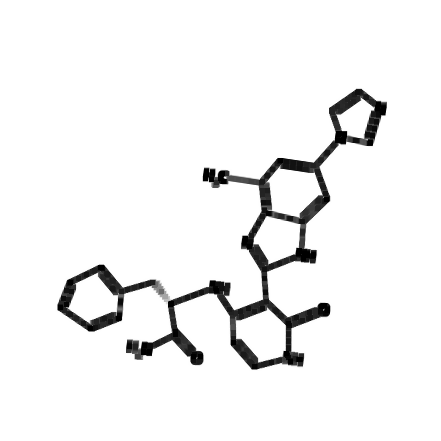 Cc1cc(-n2ccnc2)cc2[nH]c(-c3c(N[C@@H](Cc4ccccc4)C(N)=O)cc[nH]c3=O)nc12